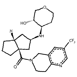 O=C(N1CCc2ncc(C(F)(F)F)cc2C1)[C@@]12CCC[C@@H]1C[C@@H](N[C@@H]1CCOC[C@H]1O)C2